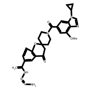 C=C(N/N=N\N)c1ccc2c(c1)C(=O)CC1(CCN(C(=O)c3cc(OC)c4ncn(C5CC5)c4c3)CC1)O2